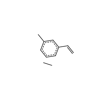 C=Cc1cccc(C)c1.CC